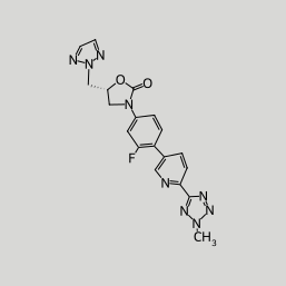 Cn1nnc(-c2ccc(-c3ccc(N4C[C@H](Cn5nccn5)OC4=O)cc3F)cn2)n1